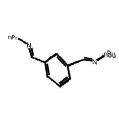 CCCCN=Cc1cccc(C=NCCC)c1